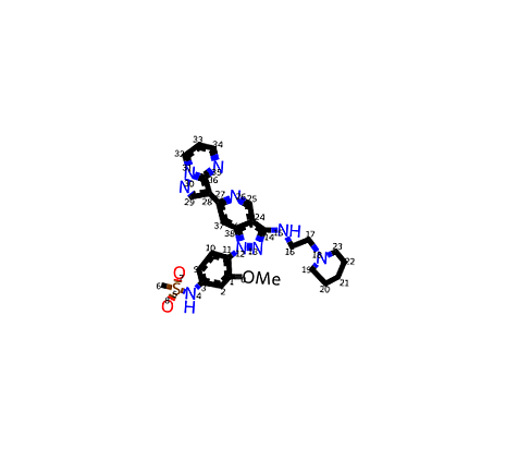 COc1cc(NS(C)(=O)=O)ccc1-n1nc(NCCN2CCCCC2)c2cnc(-c3cnn4cccnc34)cc21